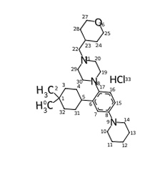 CC1(C)CCC(c2cc(N3CCCCC3)ccc2N2CCN(CC3CCOCC3)CC2)CC1.Cl